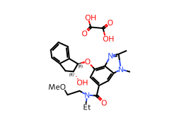 CCN(CCOC)C(=O)c1cc(O[C@@H]2c3ccccc3C[C@H]2O)c2nc(C)n(C)c2c1.O=C(O)C(=O)O